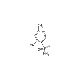 Cc1ccc(S(N)(=O)=O)c(N=O)c1